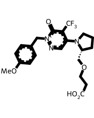 COc1ccc(Cn2ncc(N3CCC[C@@H]3COCCC(=O)O)c(C(F)(F)F)c2=O)cc1